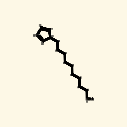 [CH2]CCCCCCCCCCCCCCCCC1N=NN=N1